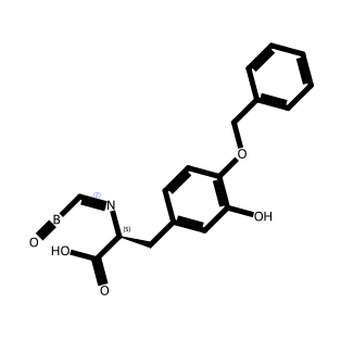 O=B/C=N\[C@@H](Cc1ccc(OCc2ccccc2)c(O)c1)C(=O)O